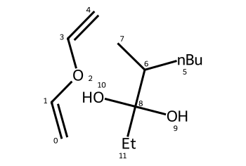 C=COC=C.CCCCC(C)C(O)(O)CC